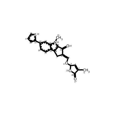 CC1=CC(O/C=C2\Cc3c(n(C)c4cc(-c5cccs5)ccc34)C2=O)OC1=O